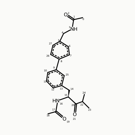 CC(=O)NCc1ccc(-c2cccc(C[C@H](NC(C)=O)C(=O)C(C)C)c2)cc1